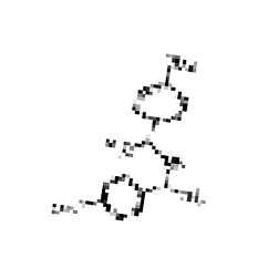 COc1ccc(C(C)NC(C)c2ccc(OC)cc2)cc1